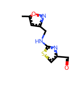 Cc1cc(CNc2nc(C=O)cs2)no1